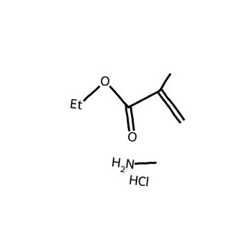 C=C(C)C(=O)OCC.CN.Cl